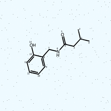 CC(C)CC(=O)NCc1ccccc1O